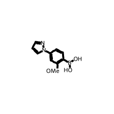 COc1cc(-n2cccn2)ccc1B(O)O